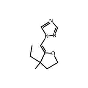 CCC1(C)CCOC1=Cn1cncn1